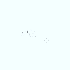 O=P(O)(O)Oc1ccnc2c1ccc1cc(P3(=O)OCCC(c4cccc(Cl)c4)O3)cnc12